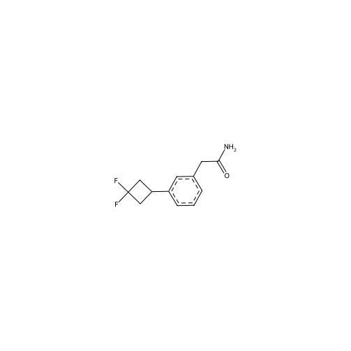 NC(=O)Cc1cccc(C2CC(F)(F)C2)c1